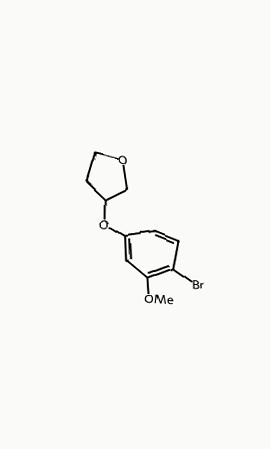 COc1cc(OC2CCOC2)ccc1Br